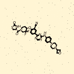 N#Cc1cc(-c2ncnc(Nc3ccc(N4CCN(C5COC5)CC4)cc3)n2)ccc1O[C@H]1CCN(C(=O)[C@@H]2CSC(=O)N2)CC1(F)F